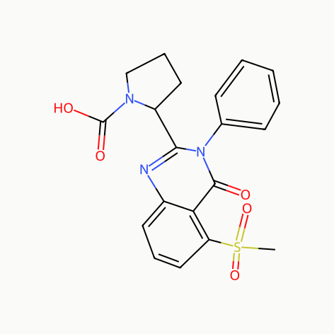 CS(=O)(=O)c1cccc2nc(C3CCCN3C(=O)O)n(-c3ccccc3)c(=O)c12